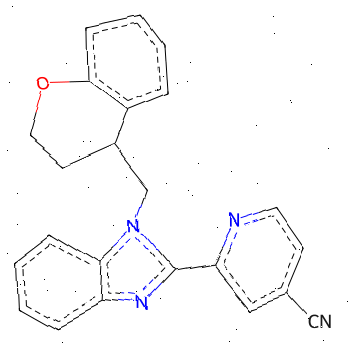 N#Cc1ccnc(-c2nc3ccccc3n2CC2CCOc3ccccc32)c1